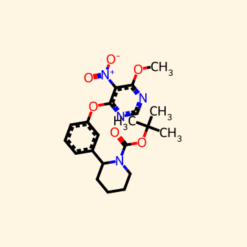 COc1ncnc(Oc2cccc(C3CCCCN3C(=O)OC(C)(C)C)c2)c1[N+](=O)[O-]